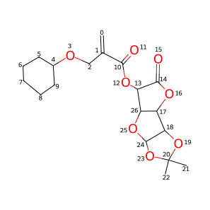 C=C(COC1CCCCC1)C(=O)OC1C(=O)OC2C3OC(C)(C)OC3OC12